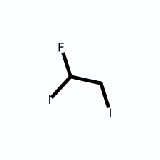 FC(I)CI